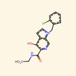 O=C(O)CNC(=O)c1ncc2c(ccn2Cc2ccccc2F)c1O